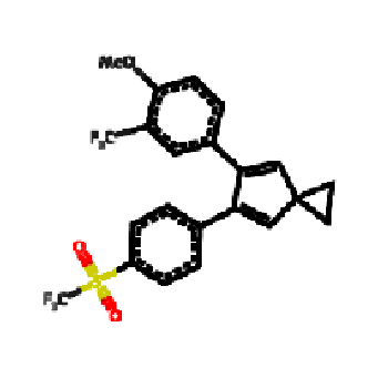 COc1ccc(C2=CC3(C=C2c2ccc(S(=O)(=O)C(F)(F)F)cc2)CC3)cc1C(F)(F)F